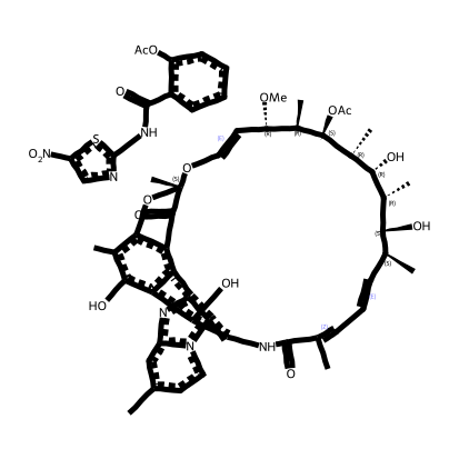 CC(=O)Oc1ccccc1C(=O)Nc1ncc([N+](=O)[O-])s1.CO[C@H]1/C=C/O[C@@]2(C)Oc3c(C)c(O)c4c(O)c(c5c(nc6cc(C)ccn65)c4c3C2=O)NC(=O)/C(C)=C\C=C\[C@H](C)[C@H](O)[C@@H](C)[C@@H](O)[C@@H](C)[C@H](OC(C)=O)[C@@H]1C